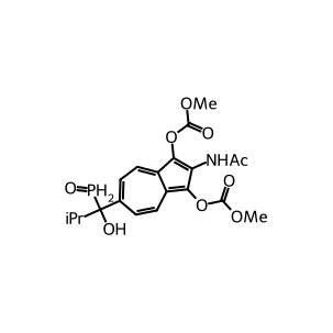 COC(=O)Oc1c2ccc(C(O)([PH2]=O)C(C)C)ccc-2c(OC(=O)OC)c1NC(C)=O